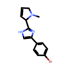 CN1CC=CC1c1nc(-c2ccc(Br)cc2)c[nH]1